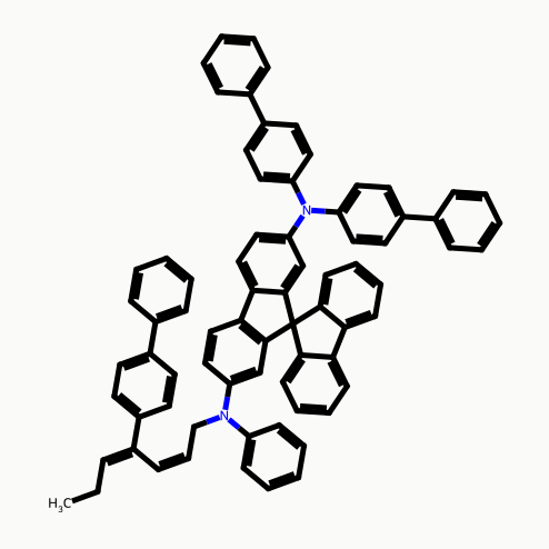 CC/C=C(\C=C/CN(c1ccccc1)c1ccc2c(c1)C1(c3ccccc3-c3ccccc31)c1cc(N(c3ccc(-c4ccccc4)cc3)c3ccc(-c4ccccc4)cc3)ccc1-2)c1ccc(-c2ccccc2)cc1